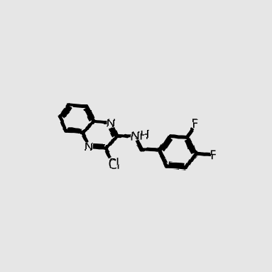 Fc1ccc(CNc2nc3ccccc3nc2Cl)cc1F